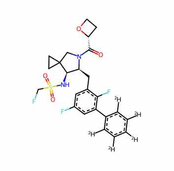 [2H]c1c([2H])c([2H])c(-c2cc(F)cc(C[C@H]3[C@@H](NS(=O)(=O)CF)C4(CC4)CN3C(=O)[C@H]3CCO3)c2F)c([2H])c1[2H]